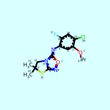 CC(C)Oc1cc(N=c2onc3n2CC(C)(C)S3)c(F)cc1Cl